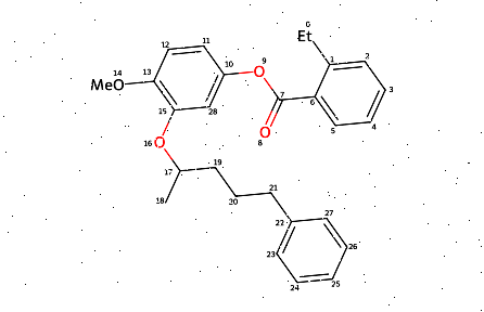 CCc1ccccc1C(=O)Oc1ccc(OC)c(OC(C)CCCc2ccccc2)c1